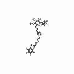 O=C(CCOCCn1cc(CCO[C@H]2O[C@H](CC(F)(F)P(=O)(O)O)[C@@H](O)[C@H](O)[C@@H]2O)nn1)Oc1c(F)c(F)c(F)c(F)c1F